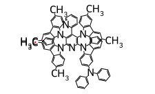 Cc1ccc2c(c1)c1cc(C)ccc1n2-c1nc(-n2c3ccccc3c3cc(N(c4ccccc4)c4ccccc4)ccc32)c(-n2c3ccc(C)cc3c3cc(C)ccc32)c(-c2ccccn2)c1-n1c2ccc(C)cc2c2cc(C)ccc21